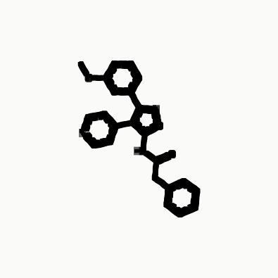 COc1cccc(-c2noc(NC(=O)Cc3ccccc3)c2-c2ccncc2)c1